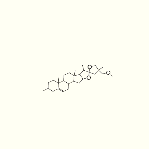 COCC1(C)COC2(C1)OC1CC3C4CC=C5CC(C)CCC5(C)C4CCC3(C)C1C2C